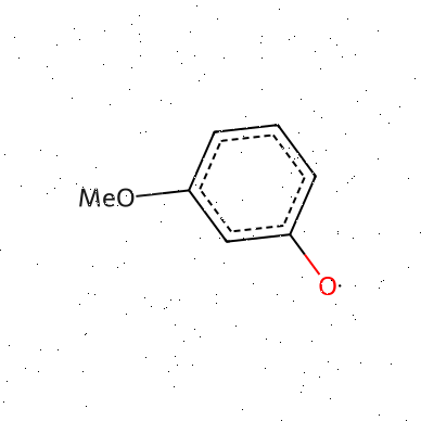 COc1cccc([O])c1